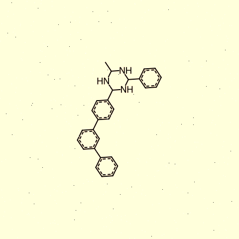 CC1NC(c2ccccc2)NC(c2ccc(-c3cccc(-c4ccccc4)c3)cc2)N1